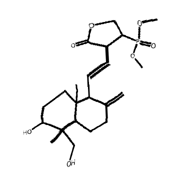 C=C1CCC2C(C)(CO)C(O)CCC2(C)C1/C=C/C1C(=O)OCC1P(=O)(OC)OC